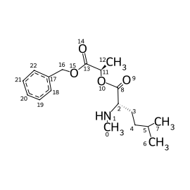 CN[C@@H](CCC(C)C)C(=O)O[C@H](C)C(=O)OCc1ccccc1